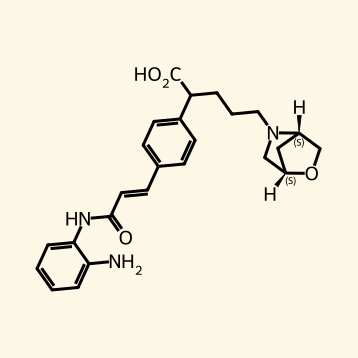 Nc1ccccc1NC(=O)C=Cc1ccc(C(CCCN2C[C@@H]3C[C@H]2CO3)C(=O)O)cc1